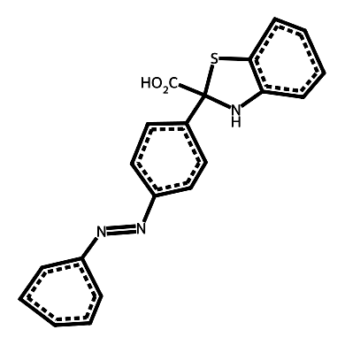 O=C(O)C1(c2ccc(N=Nc3ccccc3)cc2)Nc2ccccc2S1